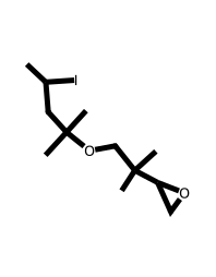 CC(I)CC(C)(C)OCC(C)(C)C1CO1